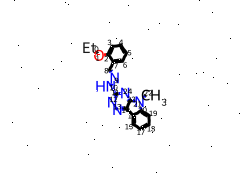 CCOc1ccccc1C=NNc1nnc2c3ccccc3n(C)c2n1